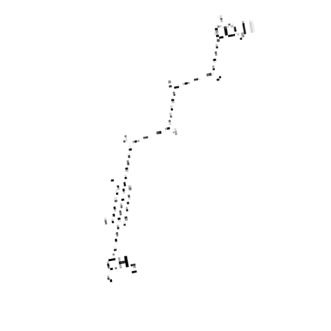 CC#CCCCCC(=O)O